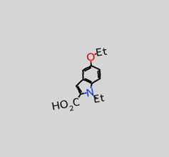 CCOc1ccc2c(c1)cc(C(=O)O)n2CC